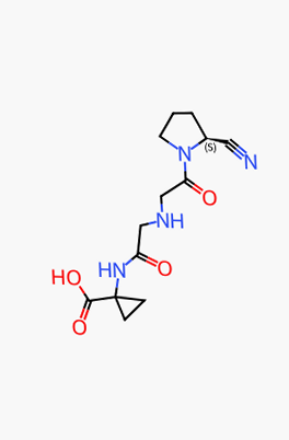 N#C[C@@H]1CCCN1C(=O)CNCC(=O)NC1(C(=O)O)CC1